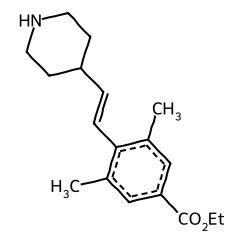 CCOC(=O)c1cc(C)c(/C=C/C2CCNCC2)c(C)c1